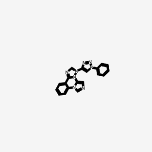 c1ccc(-n2cc(N3CN=C4c5ccccc5-n5cncc5N43)nn2)cc1